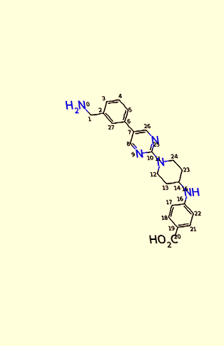 NCc1cccc(-c2cnc(N3CCC(Nc4ccc(C(=O)O)cc4)CC3)nc2)c1